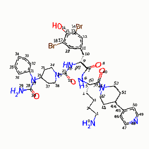 NCCCC[C@H](NC(=O)[C@@H](Cc1cc(Br)c(O)c(Br)c1)NC(=O)N1CCC(N(C(N)=O)c2ccccc2)CC1)C(=O)N1CCC(c2ccncc2)CC1